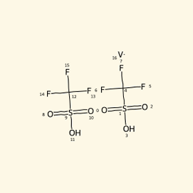 O=S(=O)(O)C(F)(F)F.O=S(=O)(O)C(F)(F)F.[V]